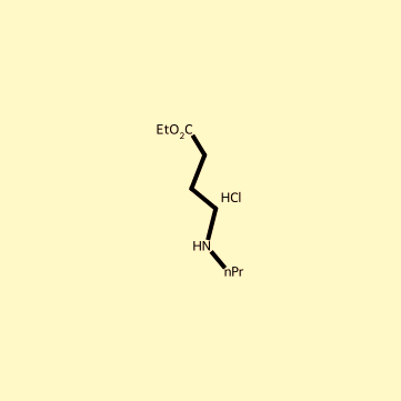 CCCNCCCC(=O)OCC.Cl